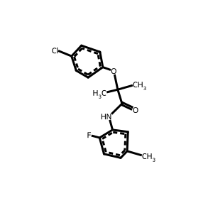 Cc1ccc(F)c(NC(=O)C(C)(C)Oc2ccc(Cl)cc2)c1